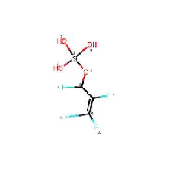 O[Si](O)(O)OC(F)C(F)=C(F)F